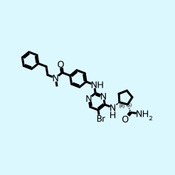 CN(CCc1ccccc1)C(=O)c1ccc(Nc2ncc(Br)c(N[C@@H]3CCC[C@@H]3C(N)=O)n2)cc1